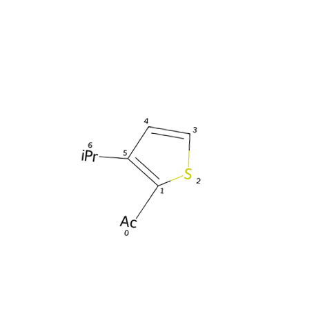 CC(=O)c1sccc1C(C)C